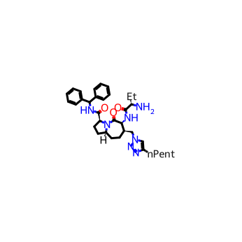 CCCCCc1cn(C[C@H]2CC[C@H]3CC[C@@H](C(=O)NC(c4ccccc4)c4ccccc4)N3C(=O)[C@H]2NC(=O)[C@@H](N)CC)nn1